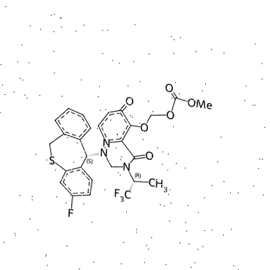 COC(=O)OCOc1c2n(ccc1=O)N([C@H]1c3ccccc3CSc3cc(F)ccc31)CN([C@H](C)C(F)(F)F)C2=O